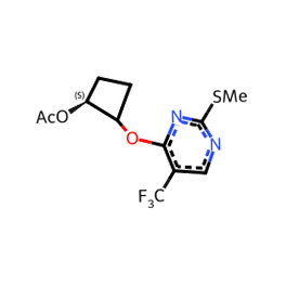 CSc1ncc(C(F)(F)F)c(OC2CC[C@@H]2OC(C)=O)n1